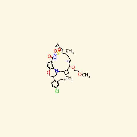 CCCc1cc(Cl)ccc1C1COc2ccc3cc2N(C1)CC1CCC1C(OCCOC)/C=C/CC(C)C(CC1CC1)S(=O)(=O)NC3=O